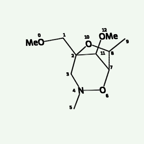 COCC12CN(C)OC(C(C)O1)C2OC